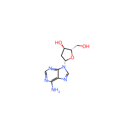 Nc1ncnc2c1ncn2[C@@H]1C[C@@H](O)[C@H](CO)O1